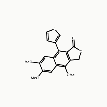 COc1cc2c(OC)c3c(c(-c4ccsc4)c2cc1OC)C(=O)OC3